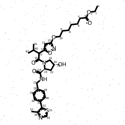 CCOC(=O)CCCCCCOc1cc(C(C(=O)N2C[C@H](O)C[C@H]2C(=O)NCc2ccc(-c3scnc3C)cc2)C(C)C)on1